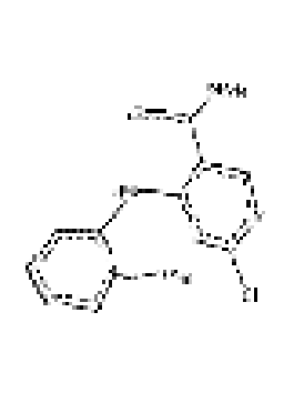 CNC(=O)c1cnc(Cl)cc1Nc1ccccc1OC